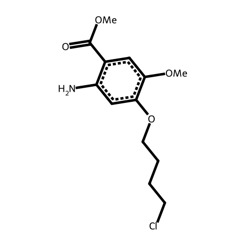 COC(=O)c1cc(OC)c(OCCCCCl)cc1N